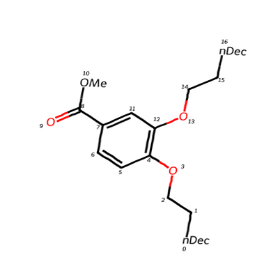 CCCCCCCCCCCCOc1ccc(C(=O)OC)cc1OCCCCCCCCCCCC